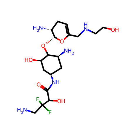 NCC(F)(F)C(O)C(=O)N[C@H]1C[C@@H](O)C(O[C@H]2OC(CNCCO)=CC[C@H]2N)[C@@H](N)C1